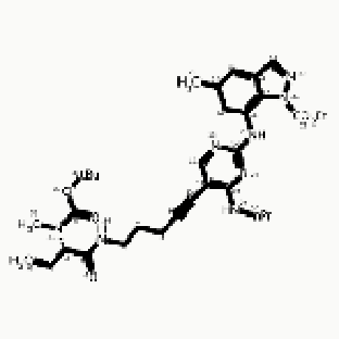 C=C[C@@H](C(=O)NCCCC#Cc1cnc(NC2=c3c(cnn3C(=O)OCC)=CC(C)C2)nc1NCCC)N(C)C(=O)OC(C)(C)C